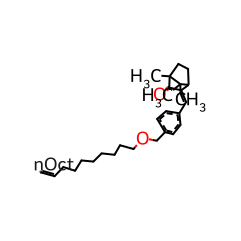 CCCCCCCC/C=C\CCCCCCCCOCc1ccc(/C=C2\C(=O)C3(C)CCC2C3(C)C)cc1